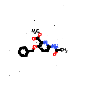 COC(=O)c1nc(NC(C)=O)ccc1OCc1ccccc1